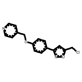 ClCc1cc(-c2ccc(OCc3ccncc3)cc2)no1